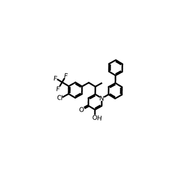 CC(Cc1ccc(Cl)c(C(F)(F)F)c1)c1cc(=O)c(O)cn1-c1cccc(-c2ccccc2)c1